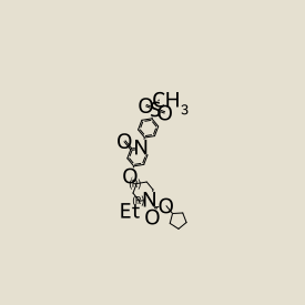 CC[C@@H]1C[C@H](Oc2ccn(-c3ccc(S(C)(=O)=O)cc3)c(=O)c2)CCN1C(=O)OC1CCCC1